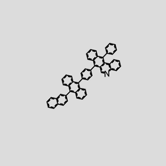 c1ccc(-c2c3ccccc3c(-c3ccc(-c4c5ccccc5c(-c5ccc6ccccc6c5)c5ccccc45)cc3)c3cnc4ccccc4c23)cc1